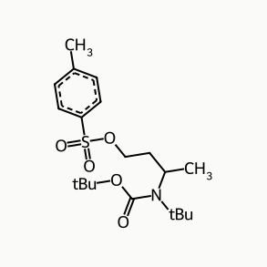 Cc1ccc(S(=O)(=O)OCCC(C)N(C(=O)OC(C)(C)C)C(C)(C)C)cc1